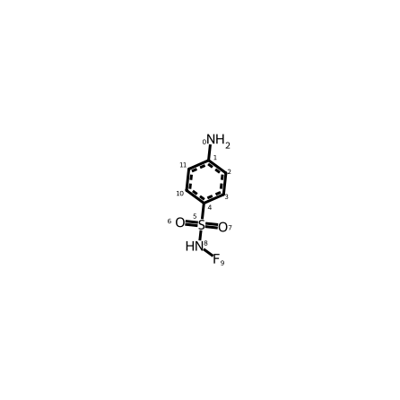 Nc1ccc(S(=O)(=O)NF)cc1